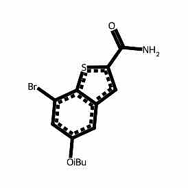 CC(C)COc1cc(Br)c2sc(C(N)=O)cc2c1